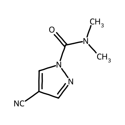 CN(C)C(=O)n1cc(C#N)cn1